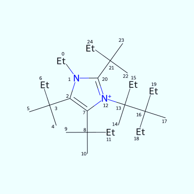 CCn1c(C(C)(C)CC)c(C(C)(C)CC)[n+](C(C)(CC)C(C)(CC)CC)c1C(C)(C)CC